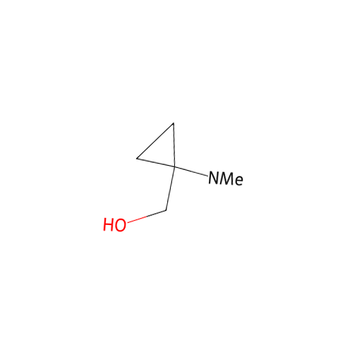 CNC1(CO)CC1